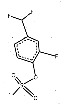 CS(=O)(=O)Oc1ccc(C(F)F)cc1F